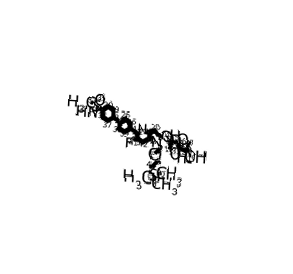 C[Si](C)(C)CCOCn1c(O[C@@H]2CO[C@H]3[C@@H]2OC[C@H]3O)cc2nc(-c3ccc(-c4ccc(S(C)(=N)=O)cc4)cc3)c(F)cc21